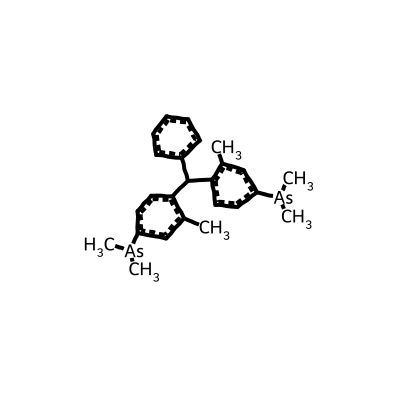 Cc1cc([As](C)C)ccc1C(c1ccccc1)c1ccc([As](C)C)cc1C